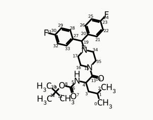 CC(C)CC(NC(=O)OC(C)(C)C)C(=O)N1CCN(C(c2ccc(F)cc2)c2ccc(F)cc2)CC1